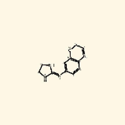 C1=Nc2ccc(N=C3NCCN3)cc2OC1